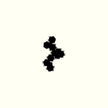 c1ccc(-n2c3ccccc3c3cc(-c4cc(-c5ccc(-c6cccc7c6oc6ccccc67)cc5)c5ccc6cccc7ccc4c5c67)ccc32)cc1